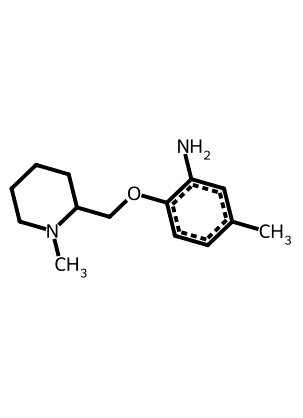 Cc1ccc(OCC2CCCCN2C)c(N)c1